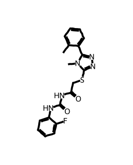 Cc1ccccc1-c1nnc(SCC(=O)NC(=O)Nc2ccccc2F)n1C